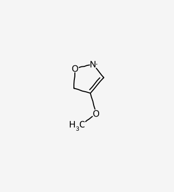 COC1=C[N]OC1